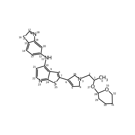 CC(CN1CC=C(c2cc3c(Nc4ccc5scnc5c4)ccnc3s2)C1)OC1CCCCO1